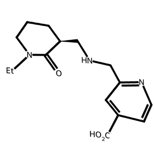 CCN1CCC[C@@H](CNCc2cc(C(=O)O)ccn2)C1=O